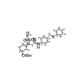 COc1cccc(N(CC(=O)Nc2ccc(CSc3ccccc3)cc2)S(C)(=O)=O)c1